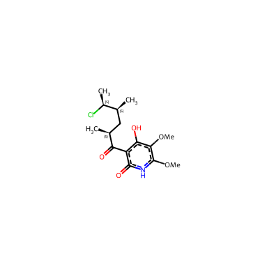 COc1[nH]c(=O)c(C(=O)[C@@H](C)C[C@H](C)[C@H](C)Cl)c(O)c1OC